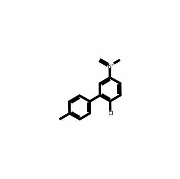 C=[N+](C)c1ccc(Cl)c(-c2ccc(C)cc2)c1